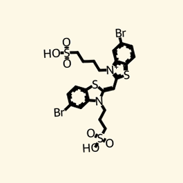 O=S(=O)(O)CCCC[n+]1c(C=C2Sc3ccc(Br)cc3N2CCCS(=O)(=O)O)sc2ccc(Br)cc21